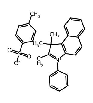 CC1=[N+](c2ccccc2)c2ccc3ccccc3c2C1(C)C.Cc1ccc(S(=O)(=O)[O-])cc1